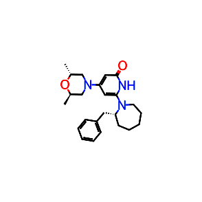 C[C@@H]1CN(c2cc(N3CCCCC[C@@H]3Cc3ccccc3)[nH]c(=O)c2)C[C@@H](C)O1